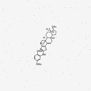 COc1ccc(OC)c(Nc2nc3c(s2)C2=CC[C@H]4[C@@H]5CC[C@H](OC(C)=O)[C@@]5(C)CC[C@@H]4[C@@]2(C)CC3)c1